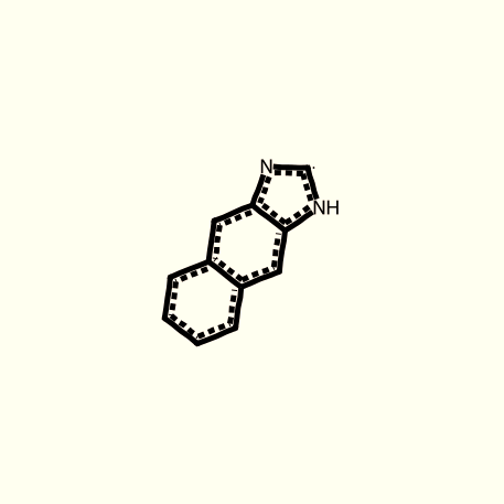 [c]1nc2cc3ccccc3cc2[nH]1